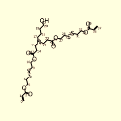 C=CC(=O)OCCSSCCOC(=O)CCN(CCCCO)CCC(=O)OCCSSCCOC(=O)C=C